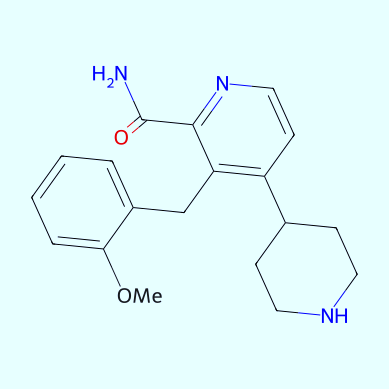 COc1ccccc1Cc1c(C2CCNCC2)ccnc1C(N)=O